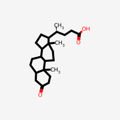 C[C@H](CCC(=O)O)C1CCC2C3CCC4CC(=O)CCC4(C)C3CCC21C